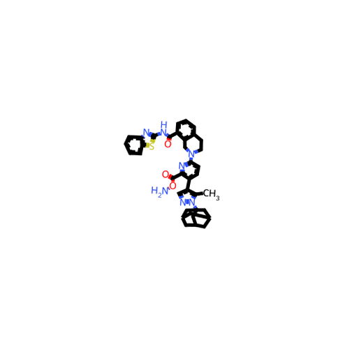 Cc1c(-c2ccc(N3CCc4cccc(C(=O)Nc5nc6ccccc6s5)c4C3)nc2C(=O)ON)cnn1C12CC3CC(CC(C3)C1)C2